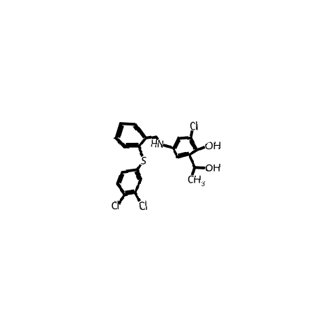 CC(O)c1cc(NCc2ccccc2Sc2ccc(Cl)c(Cl)c2)cc(Cl)c1O